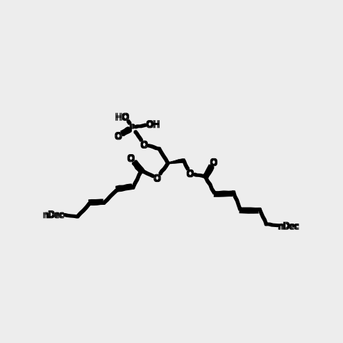 CCCCCCCCCCCC=CC=CC(=O)OC[C@H](COP(=O)(O)O)OC(=O)C=CC=CCCCCCCCCCCC